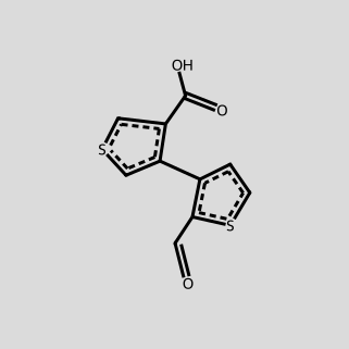 O=Cc1sccc1-c1cscc1C(=O)O